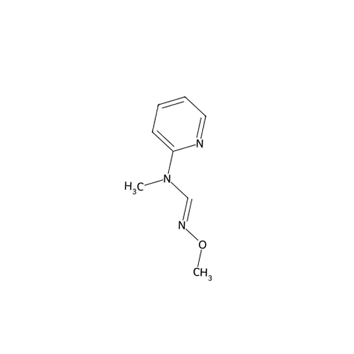 CON=CN(C)c1ccccn1